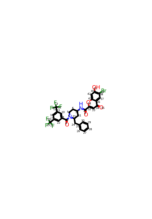 O=C(NC1CCN(C(=O)c2cc(C(F)(F)F)cc(C(F)(F)F)c2)C(Cc2ccccc2)C1)c1cc(=O)c2cc(Br)c(O)cc2o1